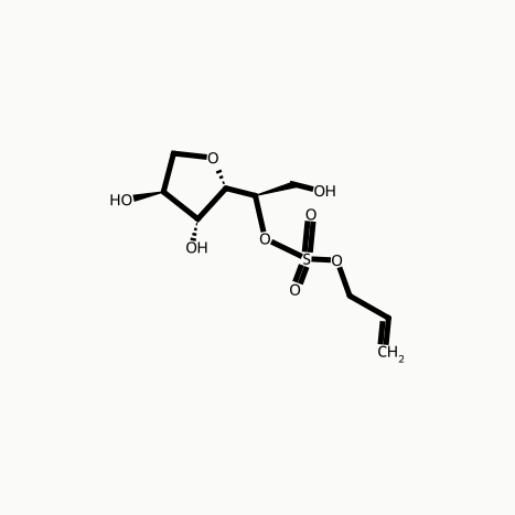 C=CCOS(=O)(=O)O[C@H](CO)[C@H]1OC[C@H](O)[C@H]1O